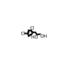 OCC(O)Cc1ccc(Cl)cc1Cl